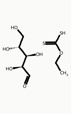 CCOC(=S)S.O=C[C@@H](O)[C@H](O)[C@H](O)CO